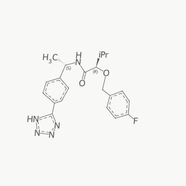 CC(C)[C@@H](OCc1ccc(F)cc1)C(=O)N[C@@H](C)c1ccc(-c2nnn[nH]2)cc1